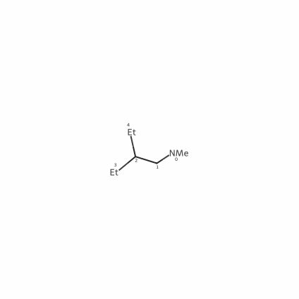 [CH2]NCC(CC)CC